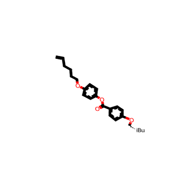 C=CCCCCOc1ccc(OC(=O)c2ccc(OC[C@@H](C)CC)cc2)cc1